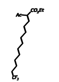 CCOC(=O)C(CCCCCCCCCCC(F)(F)F)C(C)=O